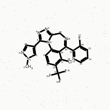 Cn1cc(-c2nnc3n2-c2ccc(C(F)(F)F)c(Cl)c2C(c2ncccc2F)=NC3)cn1